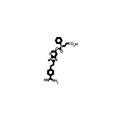 Cn1c(CCc2ccc(C(=N)N)cc2)nc2cc(OC(=O)N(CCC(=O)O)c3ccccc3)cnc21